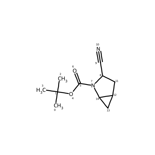 CC(C)(C)OC(=O)N1C(C#N)CC2CC21